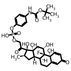 C[C@@H]1C[C@H]2[C@@H]3CCC4=CC(=O)C=C[C@]4(C)[C@@]3(F)[C@@H](O)C[C@]2(C)[C@@]1(O)C(=O)COP(=O)(O)Oc1ccc(NC(=O)OC(C)(C)C)cc1